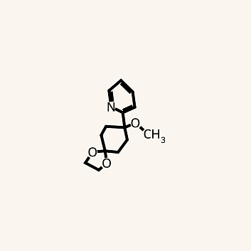 COC1(c2ccccn2)CCC2(CC1)OCCO2